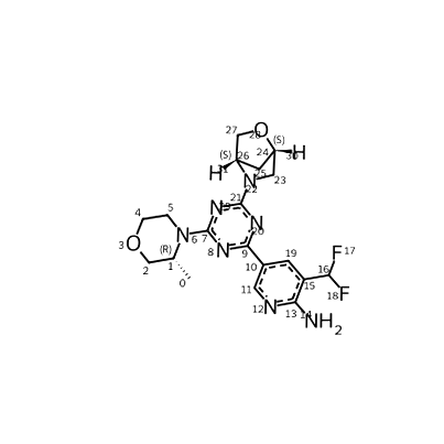 C[C@@H]1COCCN1c1nc(-c2cnc(N)c(C(F)F)c2)nc(N2C[C@@H]3C[C@H]2CO3)n1